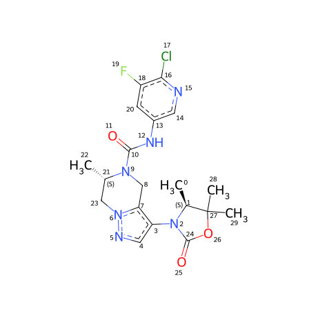 C[C@@H]1N(c2cnn3c2CN(C(=O)Nc2cnc(Cl)c(F)c2)[C@@H](C)C3)C(=O)OC1(C)C